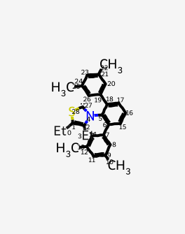 CCC1=C(CC)N(c2c(-c3cc(C)cc(C)c3)cccc2-c2cc(C)cc(C)c2)[C]S1